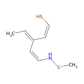 C/C=C(/C=C\S)\C=C/NSC